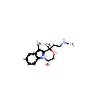 Br.CNCCC1(C)OCCn2c1c(C)c1ccccc12